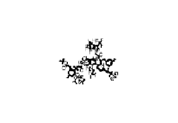 Cc1cc(CC(=O)OC(C)(C)C)c(C(C)(C)CC(=O)N(c2nn(CC(F)(F)F)c3c(-c4ccc(C#CC(C)(C)S(C)(=O)=O)nc4[C@H](Cc4cc(F)cc(F)c4)NC(=O)Cn4nc(C(F)(F)F)c5c4C(F)(F)[C@@H]4C[C@H]54)ccc(Cl)c23)S(C)(=O)=O)c(OP(=O)(OC(C)C)OC(C)C)c1